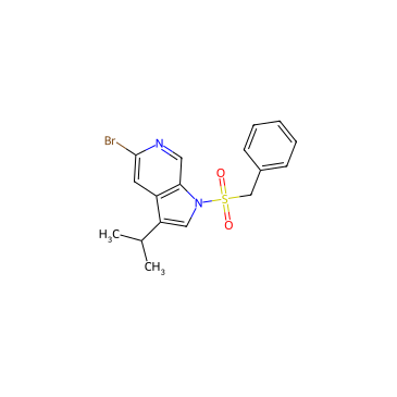 CC(C)c1cn(S(=O)(=O)Cc2ccccc2)c2cnc(Br)cc12